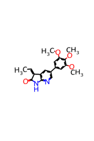 C/C=C1\C(=O)Nc2ncc(-c3cc(OC)c(OC)c(OC)c3)cc21